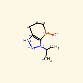 CC(C)N1NNC2=C1[S+]([O-])CCC2